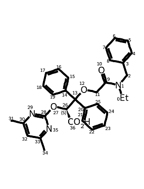 CCN(Cc1ccccc1)C(=O)COC(c1ccccc1)(c1ccccc1)[C@H](Oc1nc(C)cc(C)n1)C(=O)O